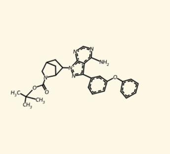 CC(C)(C)OC(=O)N1CC2CC1C(n1nc(-c3cccc(Oc4ccccc4)c3)c3c(N)ncnc31)C2